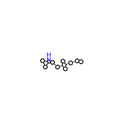 c1cc(-c2ccc3[nH]c4c5ccccc5c5ccccc5c4c3c2)cc(-c2c3ccccc3c(-c3ccc(-c4ccc5ccccc5c4)cc3)c3ccccc23)c1